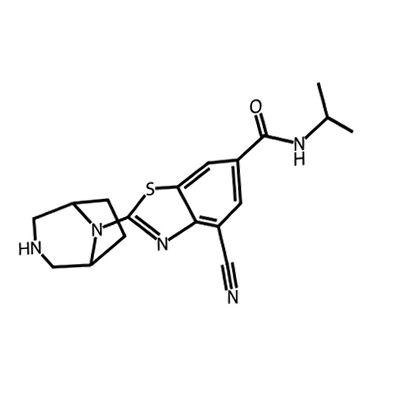 CC(C)NC(=O)c1cc(C#N)c2nc(N3C4CCC3CNC4)sc2c1